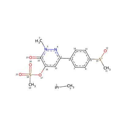 CC(C)C.Cn1nc(-c2ccc([S+](C)[O-])cc2)cc(OS(C)(=O)=O)c1=O